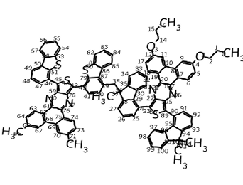 CCCOc1ccc2c(c1)c1cc(OCCC)ccc1c1nc3c(-c4cccc5c4-c4ccccc4C5(C)Cc4ccc(-c5sc(-c6cccc7c6sc6ccccc67)c6nc7c8ccc(C)cc8c8cc(C)ccc8c7nc56)c5sc6ccccc6c45)sc(-c4cccc5c4-c4ccccc4C5(C)C)c3nc21